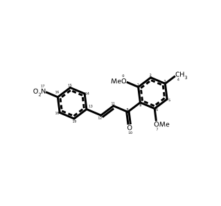 COc1cc(C)cc(OC)c1C(=O)/C=C/c1ccc([N+](=O)[O-])cc1